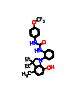 CCC1(CC)CN(c2ccccc2NC(=O)Nc2ccc(OC(F)(F)F)cc2)c2c(O)ccc(C)c21